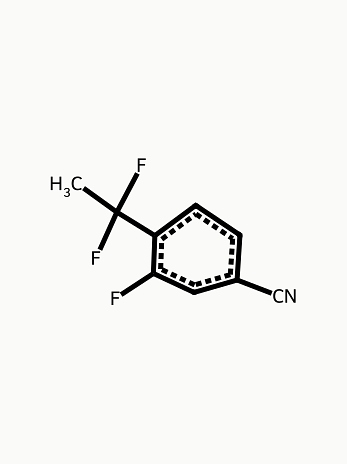 CC(F)(F)c1ccc(C#N)cc1F